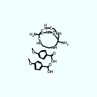 COc1ccc(C(=O)O)cc1.COc1ccc(C(=O)O)cc1.NC12CNCCNCC(N)(CNCCNC1)CNCCNC2